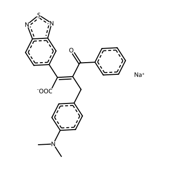 CN(C)c1ccc(CC(C(=O)c2ccccc2)=C(C(=O)[O-])c2ccc3nsnc3c2)cc1.[Na+]